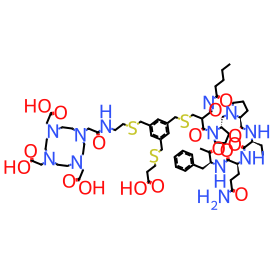 CCCCC(=O)/N=C/C(CSCc1cc(CSCCNC(=O)CN2CCN(CC(=O)O)CCN(CC(=O)O)CCN(CC(=O)O)CC2)cc(CSCCC(=O)O)c1)C(=O)N1CCC[C@H]1C(=O)N1CCC[C@H]1C(=O)N[C@@H](CC)C(=O)N[C@@H](CCC(N)=O)C(=O)N[C@@H](Cc1ccccc1)C(C)=O